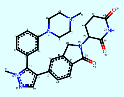 CN1CCN(c2cccc(-c3c(-c4ccc5c(c4)CN(C4CCC(=O)NC4=O)C5=O)cnn3C)c2)CC1